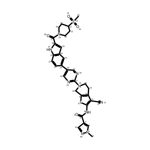 Cn1cc(C(=O)Nc2sc3c(c2C#N)CCN(c2ncc(-c4ccc5[nH]c(C(=O)N6CCC(S(C)(=O)=O)CC6)cc5c4)cn2)C3)cn1